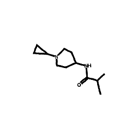 CC(C)C(=O)NC1CCN(C2CC2)CC1